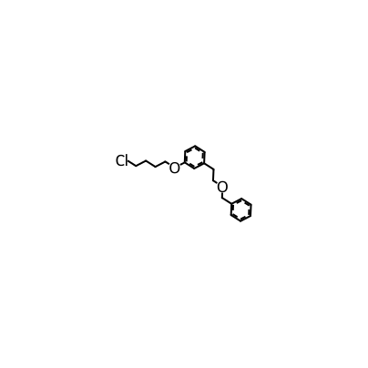 ClCCCCOc1cccc(CCOCc2ccccc2)c1